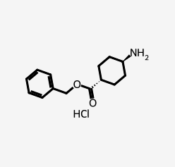 Cl.N[C@H]1CC[C@H](C(=O)OCc2ccccc2)CC1